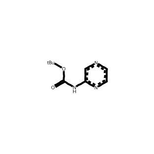 CC(C)(C)OC(=O)Nc1cnccn1